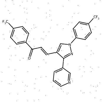 O=C(C=Cc1cn(-c2ccc(C(F)(F)F)cc2)nc1-c1cccnc1)c1ccc(C(F)(F)F)cc1